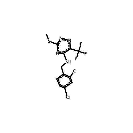 CSc1nnc(C(F)(F)F)c(NCc2ccc(Cl)cc2Cl)n1